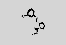 CC(C)(C)OC(=O)N1CCC[C@H]1COc1cccc(N)c1